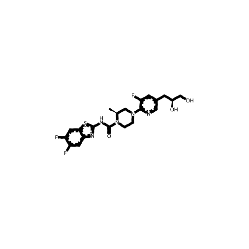 C[C@H]1CN(c2ncc(C[C@H](O)CO)cc2F)CCN1C(=O)Nc1nc2cc(F)c(F)cc2s1